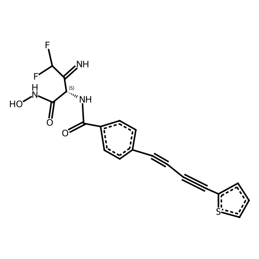 N=C(C(F)F)[C@H](NC(=O)c1ccc(C#CC#Cc2cccs2)cc1)C(=O)NO